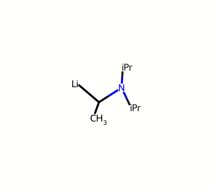 [Li][CH](C)N(C(C)C)C(C)C